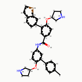 Cc1ccc(-c2cc(NC(=O)c3ccc(O[C@H]4CCNC4)c(-c4ccc5ccsc5c4)c3)ccc2O[C@H]2CCNC2)cc1